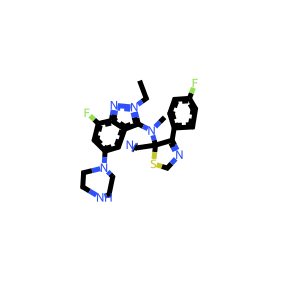 CCn1nc2c(F)cc(N3CCNCC3)cc2c1N(C)C1(C#N)SCN=C1c1ccc(F)cc1